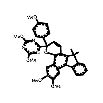 COc1ccc(C2(c3nc(OC)nc(OC)n3)C=Cc3c4c(c5cc(OC)c(OC)cc5c3O2)-c2ccccc2C4(C)C)cc1